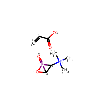 C=CC(=O)[O-].C[N+](C)(C)C1C2OP21=O